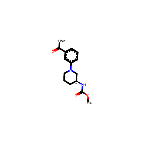 COC(=O)c1cccc(N2CCC[C@H](NC(=O)OC(C)(C)C)C2)c1